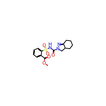 COC(=O)c1ccccc1S(=O)(=O)NC(=O)N1CC2CCCCC2=N1